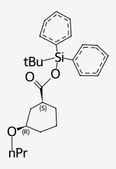 CCCO[C@@H]1CCC[C@H](C(=O)O[Si](c2ccccc2)(c2ccccc2)C(C)(C)C)C1